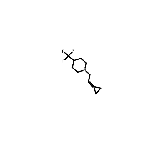 FC(F)(F)C1CCN(CC=C2CC2)CC1